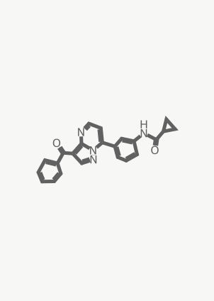 O=C(c1ccccc1)c1cnn2c(-c3cccc(NC(=O)C4CC4)c3)ccnc12